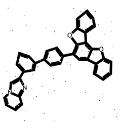 c1cc(-c2ccc(-c3cc4c5ccccc5oc4c4c3oc3ccccc34)cc2)cc(-c2cn3ccccc3n2)c1